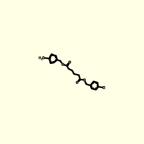 Cc1ccc(COC(=O)CCCCC(=O)OCc2ccc(Cl)cc2)cc1